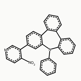 O=[N+]([O-])c1ccncc1-c1ccc2c(c1)N(c1ccccc1)c1ccccc1-c1ccccc1-2